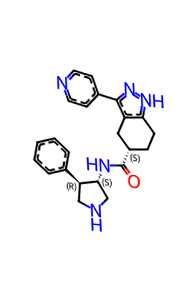 O=C(N[C@@H]1CNC[C@H]1c1ccccc1)[C@H]1CCc2[nH]nc(-c3ccncc3)c2C1